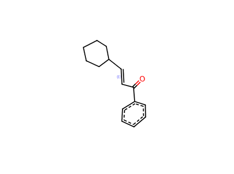 O=C(/C=C/C1CCCCC1)c1ccccc1